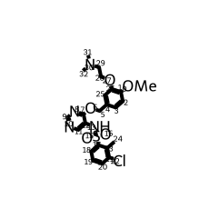 COc1ccc(COc2ncncc2NS(=O)(=O)c2cccc(Cl)c2C)cc1OCCN(C)C